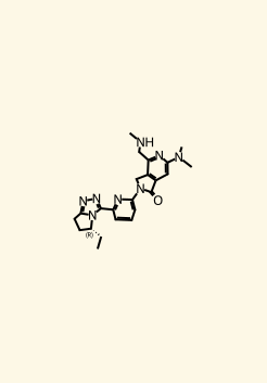 CC[C@@H]1CCc2nnc(-c3cccc(N4Cc5c(cc(N(C)C)nc5CNC)C4=O)n3)n21